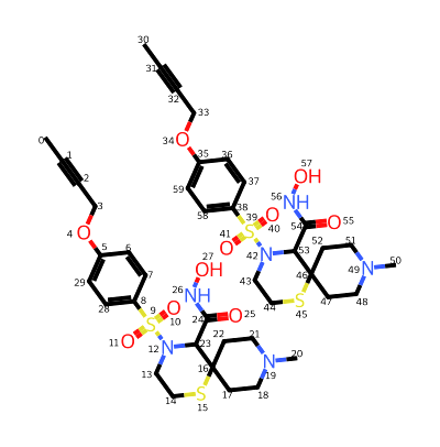 CC#CCOc1ccc(S(=O)(=O)N2CCSC3(CCN(C)CC3)C2C(=O)NO)cc1.CC#CCOc1ccc(S(=O)(=O)N2CCSC3(CCN(C)CC3)C2C(=O)NO)cc1